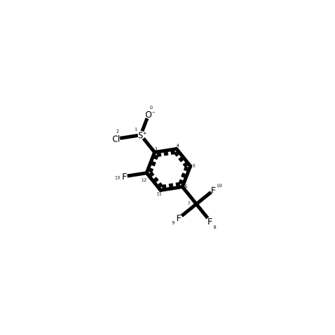 [O-][S+](Cl)c1ccc(C(F)(F)F)cc1F